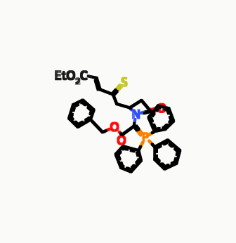 CCOC(=O)C=CC(=S)CC1CC(=O)N1C(C(=O)OCc1ccccc1)=P(c1ccccc1)(c1ccccc1)c1ccccc1